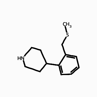 CSCc1ccccc1C1CCNCC1